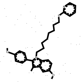 COc1ccc(-c2c(C)c3cc(OC)ccc3n2CCCCCCCCSc2ccccn2)cc1